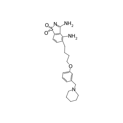 NC1=NS(=O)(=O)c2ccc(CCCCOc3cccc(CN4CCCCC4)c3)c(N)c21